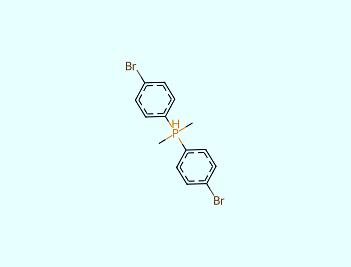 C[PH](C)(c1ccc(Br)cc1)c1ccc(Br)cc1